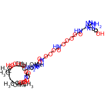 CO[C@H]1C[C@@H]2CC[C@@H](C)[C@@](O)(O2)C(=O)C(=O)N2CCCC[C@H]2C(=O)O[C@H]([C@H](N)C[C@@H]2CC[C@H](n3cc(COC(=O)NCCOCCOCCOCCC(=O)NCCOCCOCCOCCOCCC(=O)NCCCCn4nc(-c5cc6cc(O)ccc6[nH]5)c5c(N)ncnc54)nn3)[C@H](OC)C2)CC(=O)[C@H](C)/C=C(\C)[C@@H](O)[C@@H](O)C(=O)[C@H](C)C[C@H](C)/C=C/C=C/C=C/1C